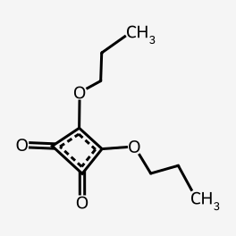 CCCOc1c(OCCC)c(=O)c1=O